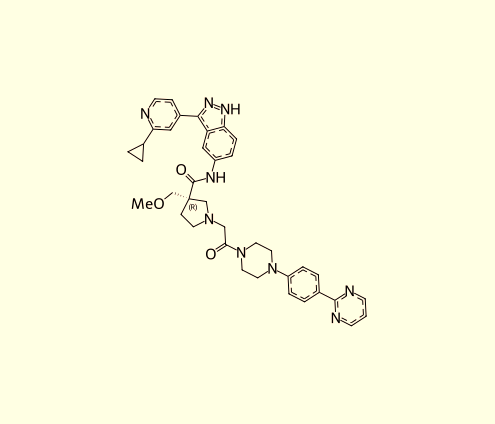 COC[C@@]1(C(=O)Nc2ccc3[nH]nc(-c4ccnc(C5CC5)c4)c3c2)CCN(CC(=O)N2CCN(c3ccc(-c4ncccn4)cc3)CC2)C1